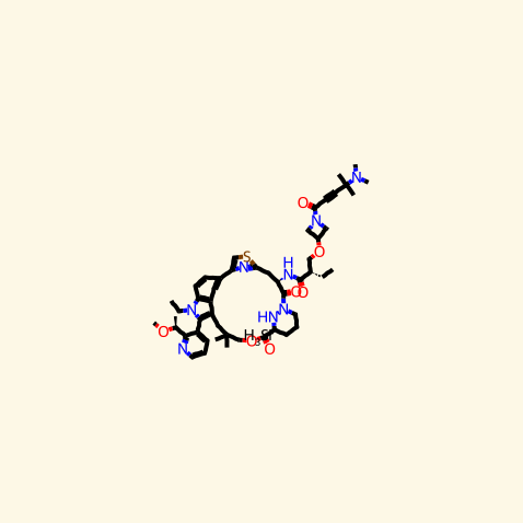 CC[C@@H](COC1CN(C(=O)C#CC(C)(C)N(C)C)C1)C(=O)N[C@H]1Cc2nc(cs2)-c2ccc3c(c2)c(c(-c2cccnc2[C@H](C)OC)n3CC)CC(C)(C)COC(=O)[C@@]2([SiH3])CCCN(N2)C1=O